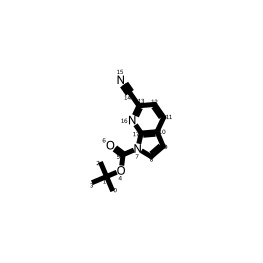 CC(C)(C)OC(=O)n1ccc2ccc(C#N)nc21